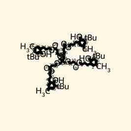 Cc1cc(CCCOC(=O)CCOCC(COCCC(=O)OCCCc2cc(C)cc(C(C)(C)C)c2O)(COCCC(=O)OCCCc2cc(C)cc(C(C)(C)C)c2O)COCCC(=O)OCCCc2cc(C)cc(C(C)(C)C)c2O)c(O)c(C(C)(C)C)c1